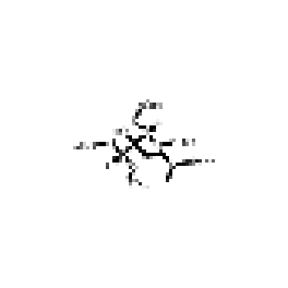 CCCCCCCCOP(=O)(OCCCCCCCC)C(O)(CCN(C)CCCCC)P(=O)(OCCCCCCCC)OCCCCCCCC